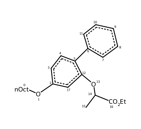 CCCCCCCCOc1ccc(-c2ccccc2)c(OC(C)C(=O)OCC)c1